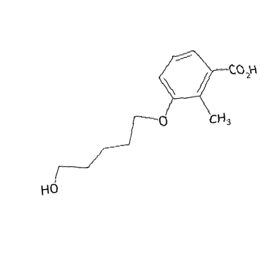 Cc1c(OCCCCCO)cccc1C(=O)O